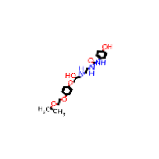 CC(C)OCCOc1ccc(OCC(O)CNCCNC(=O)Nc2ccc(O)cc2)cc1